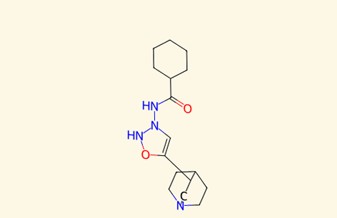 O=C(NN1C=C(C2CN3CCC2CC3)ON1)C1CCCCC1